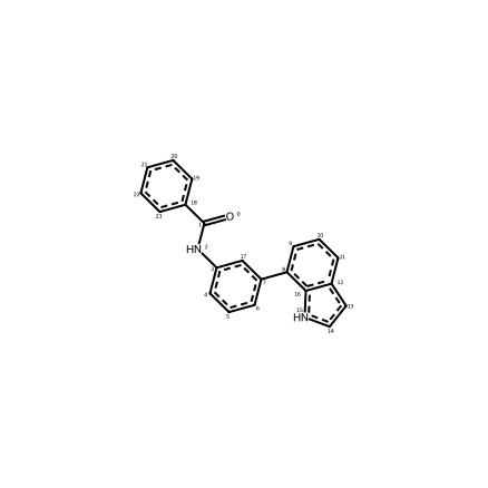 O=C(Nc1cccc(-c2cccc3cc[nH]c23)c1)c1ccccc1